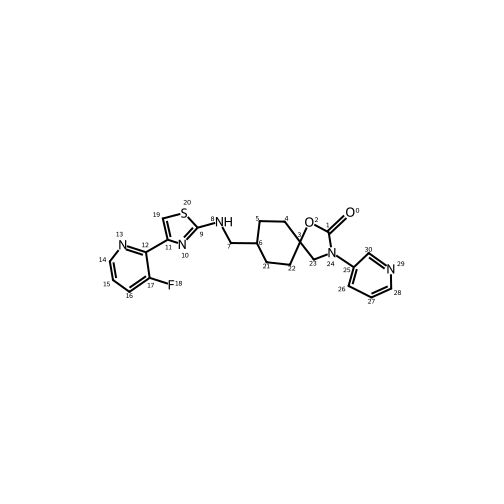 O=C1OC2(CCC(CNc3nc(-c4ncccc4F)cs3)CC2)CN1c1cccnc1